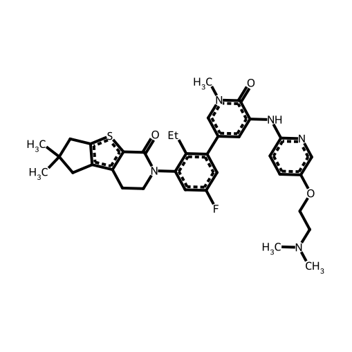 CCc1c(-c2cc(Nc3ccc(OCCN(C)C)cn3)c(=O)n(C)c2)cc(F)cc1N1CCc2c(sc3c2CC(C)(C)C3)C1=O